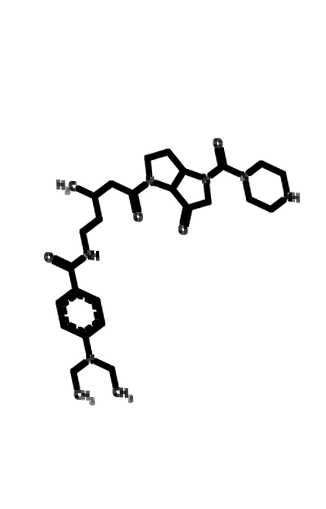 CCN(CC)c1ccc(C(=O)NCCC(C)CC(=O)N2CCC3C2C(=O)CN3C(=O)N2CCNCC2)cc1